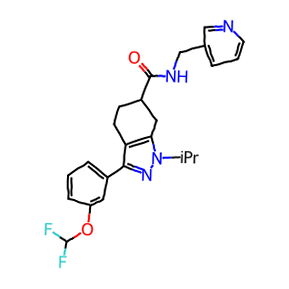 CC(C)n1nc(-c2cccc(OC(F)F)c2)c2c1CC(C(=O)NCc1cccnc1)CC2